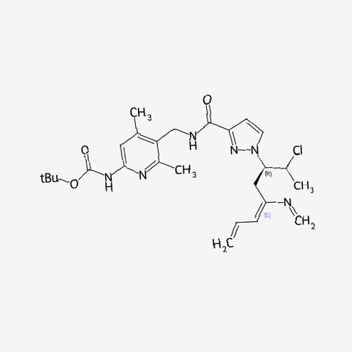 C=C/C=C(\C[C@H](C(C)Cl)n1ccc(C(=O)NCc2c(C)cc(NC(=O)OC(C)(C)C)nc2C)n1)N=C